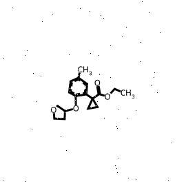 CCOC(=O)C1(c2cc(C)ccc2OC2CCOC2)CC1